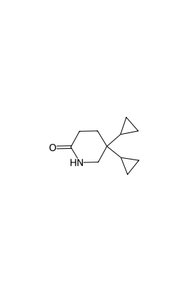 O=C1CCC(C2CC2)(C2CC2)CN1